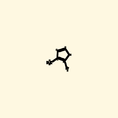 CC1=[C]([Er])CC=C1